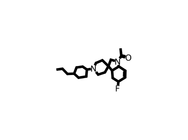 CCCC1CCC(N2CCC3(CC2)CN(C(C)=O)C2C=CC(F)CC23)CC1